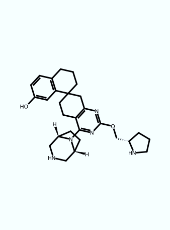 Oc1ccc2c(c1)C1(CCC2)CCc2c(nc(OC[C@@H]3CCCN3)nc2N2[C@@H]3CC[C@H]2CNC3)C1